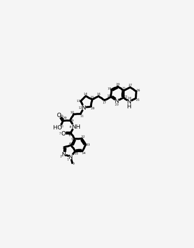 Cn1ncc2c(C(=O)NC(CCN3CCC(CCc4ccc5c(n4)NCCC5)C3)C(=O)O)cccc21